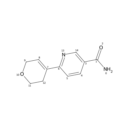 NC(=O)c1ccc(C2=CCOCC2)nc1